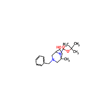 CC(C)(C)OC(=O)N1C2CN(Cc3ccccc3)CC1(C)CC2O